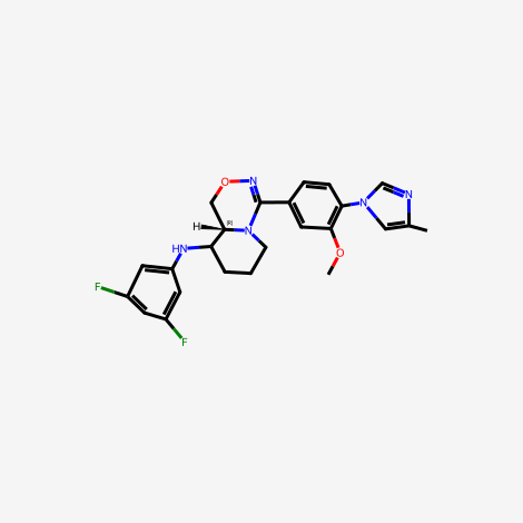 COc1cc(C2=NOC[C@H]3C(Nc4cc(F)cc(F)c4)CCCN23)ccc1-n1cnc(C)c1